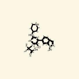 CC(C)n1ncc2ccc(-c3nc(NC4CCNCC4)ncc3Cl)cc21.O=C(O)C(F)(F)F